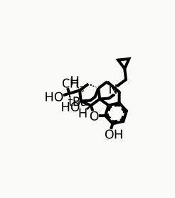 CC(C)(C)[C@@](C)(O)[C@H]1C[C@@]23CC[C@]1(O)[C@H]1Oc4c(O)ccc5c4C12CCN(CC1CC1)C3C5